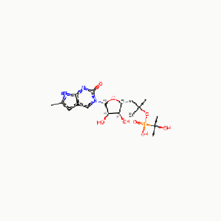 CCC(C)(C[C@H]1O[C@@H](n2cc3cc(C)[nH]c3nc2=O)[C@H](O)[C@@H]1O)OP(=O)(O)C(C)(C)O